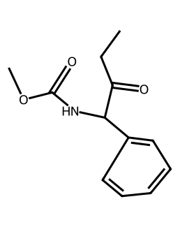 CCC(=O)C(NC(=O)OC)c1ccccc1